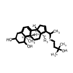 CC(SCCC(C)(C)O)C1=CC[C@H]2C3=CC=C4CC(O)CC(O)[C@]4(C)[C@H]3CC[C@]12C